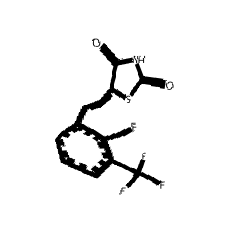 O=C1NC(=O)C(=Cc2cccc(C(F)(F)F)c2F)S1